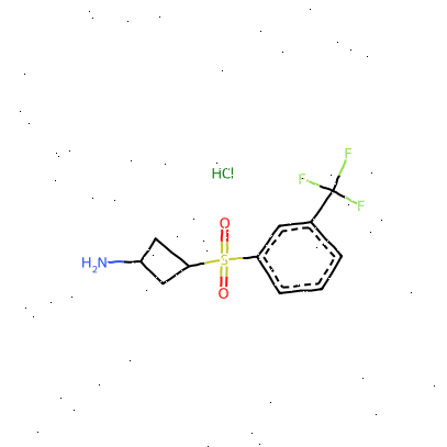 Cl.NC1CC(S(=O)(=O)c2cccc(C(F)(F)F)c2)C1